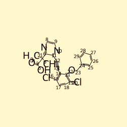 CC(C)(C(=O)O)c1nccnc1C#Cc1c(Cl)ccc(Cl)c1OCc1ccccc1